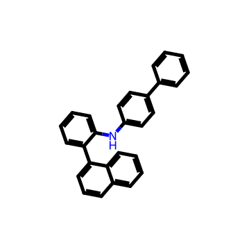 c1ccc(-c2ccc(Nc3ccccc3-c3cccc4ccccc34)cc2)cc1